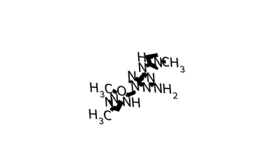 CCn1nc(C)cc1NC(=O)Cn1cnc2c(Nc3ccn(C)c3)nc(N)nc21